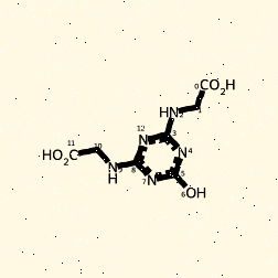 O=C(O)CNc1nc(O)nc(NCC(=O)O)n1